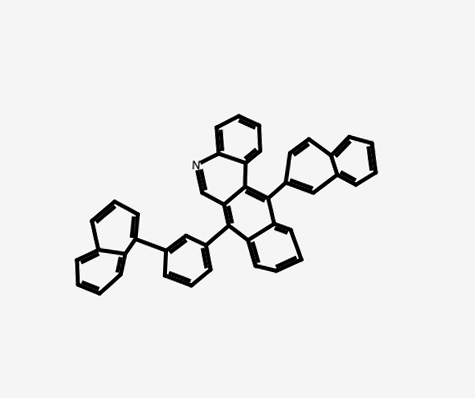 c1cc(-c2cccc3ccccc23)cc(-c2c3ccccc3c(-c3ccc4ccccc4c3)c3c2cnc2ccccc23)c1